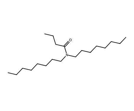 CCCCCCCCN(CCCCCCCC)C(=O)CCC